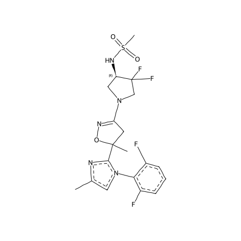 Cc1cn(-c2c(F)cccc2F)c(C2(C)CC(N3C[C@@H](NS(C)(=O)=O)C(F)(F)C3)=NO2)n1